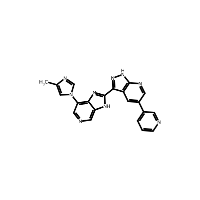 Cc1cn(-c2cncc3[nH]c(-c4n[nH]c5ncc(-c6cccnc6)cc45)nc23)cn1